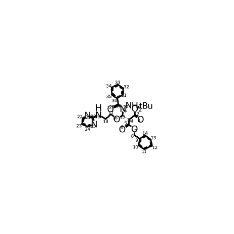 CC(C)(C)OC(=O)[C@H](C(=O)OCc1ccccc1)C(OCCNc1ncccn1)N(N)C(=O)c1ccccc1